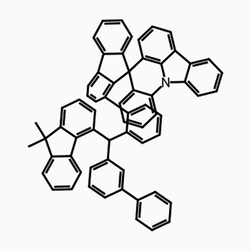 CC1(C)c2ccccc2-c2c(C(c3cccc(-c4ccccc4)c3)c3ccccc3-c3cccc4c3C3(c5ccccc5-4)c4ccccc4-n4c5ccccc5c5cccc3c54)cccc21